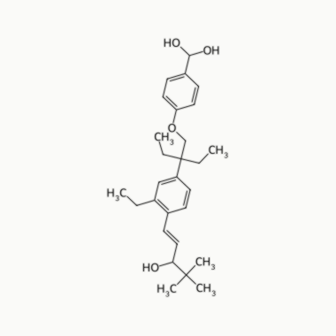 CCc1cc(C(CC)(CC)COc2ccc(C(O)O)cc2)ccc1C=CC(O)C(C)(C)C